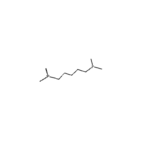 CP(C)CCCCCP(C)C